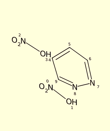 O=[N+]([O-])O.O=[N+]([O-])O.c1ccnnc1